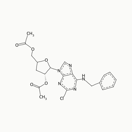 CC(=O)OCC1C[C@@H](OC(C)=O)C(n2cnc3c(NCc4ccccc4)nc(Cl)nc32)O1